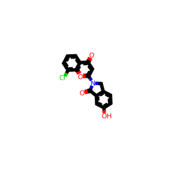 O=C1c2cc(O)ccc2CN1c1cc(=O)c2cccc(Cl)c2o1